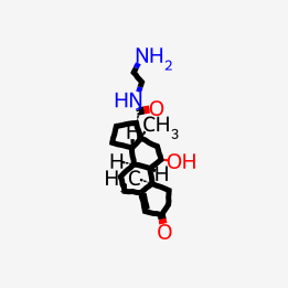 C[C@]12C[C@H](O)[C@H]3[C@@H](CCC4=CC(=O)CC[C@@]43C)[C@@H]1CC[C@@H]2C(=O)NCCN